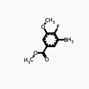 Bc1cc(C(=O)OC)cc(OC)c1F